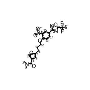 CN(C)C(=O)c1cc(CCCOc2ccc(-c3noc(C(F)(F)F)n3)cc2[N+](=O)[O-])on1